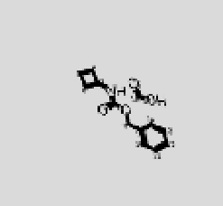 O=C(NC1CCC1)OCc1ccccc1.O=CO